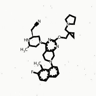 Cc1c(F)ccc2cccc(N3CCc4c(nc(OCC5(CN6CCCC6)CC5)nc4N4C[C@H](CC#N)N[C@H](C)C4)C3)c12